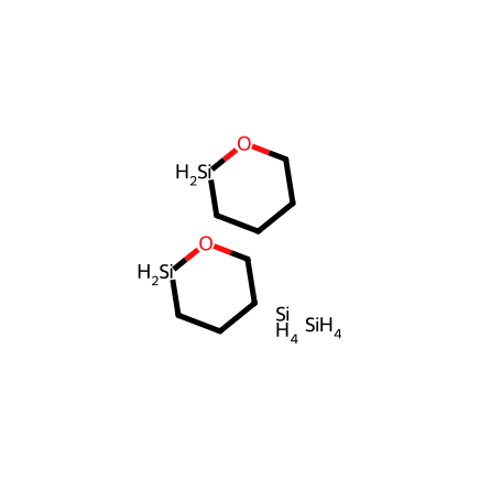 C1CC[SiH2]OC1.C1CC[SiH2]OC1.[SiH4].[SiH4]